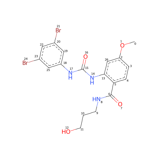 COc1ccc(C(=O)NCCCO)c(NC(=O)Nc2cc(Br)cc(Br)c2)c1